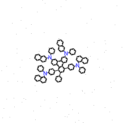 c1ccc(-c2cc(-c3ccc(N(c4ccccc4)c4cccc5ccccc45)cc3)c3c4ccc(N(c5ccccc5)c5ccc6ccccc6c5)cc4c4cc(N(c5ccccc5)c5ccc6ccccc6c5)ccc4c3c2-c2ccc(N(c3ccccc3)c3cccc4ccccc34)cc2)cc1